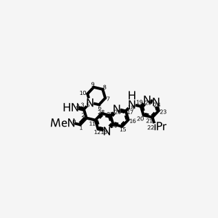 CN/C=C(\C(=N)N1CCCCC1)c1cnc2ccc(Nc3cc(C(C)C)cnn3)nc2c1